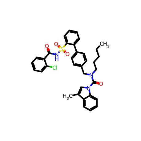 CCCCCN(Cc1ccc(-c2ccccc2S(=O)(=O)NC(=O)c2ccccc2Cl)cc1)C(=O)n1cc(C)c2ccccc21